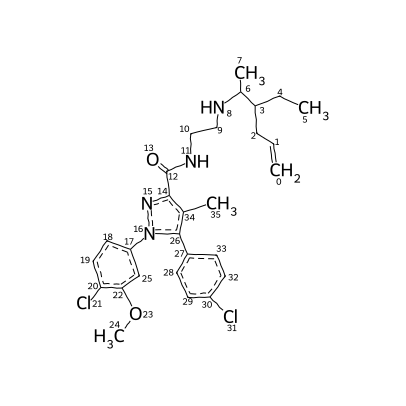 C=CCC(CC)C(C)NCCNC(=O)c1nn(-c2ccc(Cl)c(OC)c2)c(-c2ccc(Cl)cc2)c1C